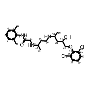 Cc1cccc(C)c1NC(=O)CNC(C)CCNC(C)CC(O)COc1c(Cl)cccc1Cl